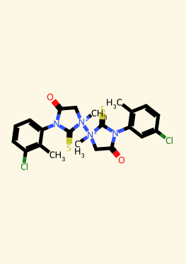 Cc1ccc(Cl)cc1N1C(=O)C[N+](C)([N+]2(C)CC(=O)N(c3cccc(Cl)c3C)C2=S)C1=S